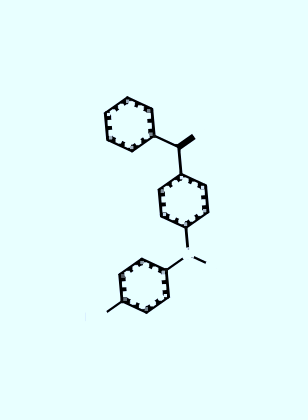 O=C(c1ccccc1)c1ccc([S+]([O-])c2ccc(O)cc2)cc1